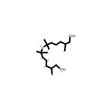 CC(CC=O)CCCC(C)(C)OC(C)(C)CCCC(C)CC=O